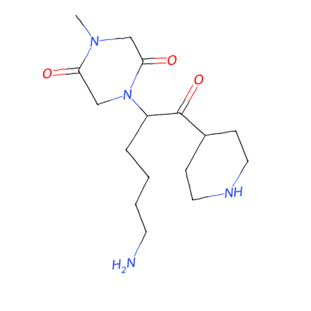 CN1CC(=O)N(C(CCCCN)C(=O)C2CCNCC2)CC1=O